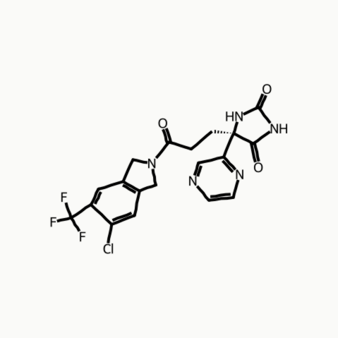 O=C1NC(=O)[C@@](CCC(=O)N2Cc3cc(Cl)c(C(F)(F)F)cc3C2)(c2cnccn2)N1